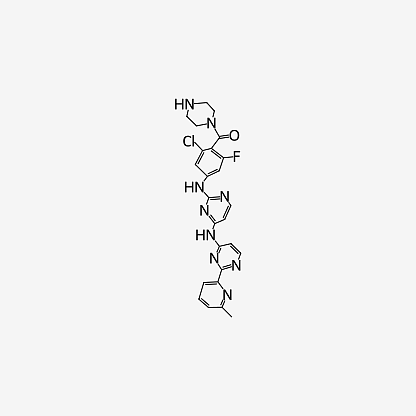 Cc1cccc(-c2nccc(Nc3ccnc(Nc4cc(F)c(C(=O)N5CCNCC5)c(Cl)c4)n3)n2)n1